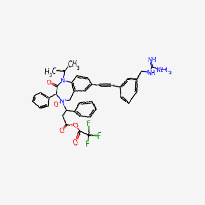 CC(C)N1C(=O)C(c2ccccc2)[N+]([O-])(C(CC(=O)OC(=O)C(F)(F)F)c2ccccc2)Cc2cc(C#Cc3cccc(CNC(=N)N)c3)ccc21